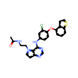 CC(=O)NCCn1ccc2ncnc(Nc3ccc(Oc4cccc5sccc45)c(Cl)c3)c21